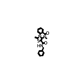 C=C1SC(C(=O)NCc2ccccc2)=C2N(C)C(=O)c3ccccc3N12